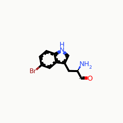 N[C@@H]([C]=O)Cc1c[nH]c2ccc(Br)cc12